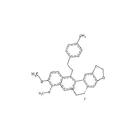 COc1ccc2c(CCc3ccc(C)cc3)c3[n+](cc2c1OC)CCc1cc2c(cc1-3)OCO2.[I-]